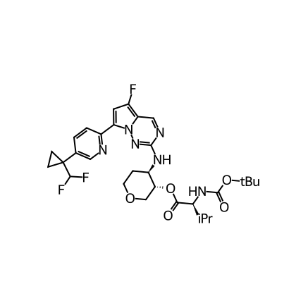 CC(C)[C@H](NC(=O)OC(C)(C)C)C(=O)O[C@@H]1COCC[C@H]1Nc1ncc2c(F)cc(-c3ccc(C4(C(F)F)CC4)cn3)n2n1